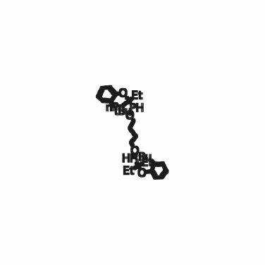 CCCC(CC)(Oc1ccccc1C(C)(C)C)POCCCCOPC(CC)(CC)Oc1ccccc1C(C)(C)C